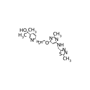 Cc1nc(NCc2nnc(C)s2)cc(OC[C@H]2C[C@@H]2c2ccc(C(C)(C)O)cn2)n1